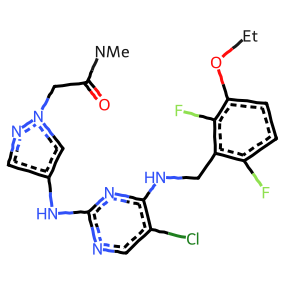 CCOc1ccc(F)c(CNc2nc(Nc3cnn(CC(=O)NC)c3)ncc2Cl)c1F